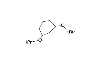 CC(C)OC1CCCC(OC(C)(C)C)C1